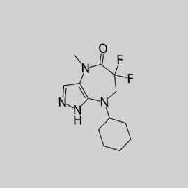 CN1C(=O)C(F)(F)CN(C2CCCCC2)c2[nH]ncc21